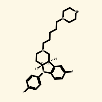 Fc1ccc(N2c3ccc(F)cc3[C@@H]3CN(CCCCCN4CCNCC4)CC[C@H]32)cc1